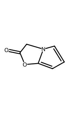 O=C1Cn2cccc2O1